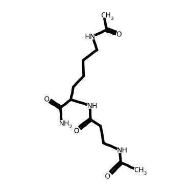 CC(=O)NCCCCC(NC(=O)CCNC(C)=O)C(N)=O